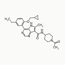 CCc1ccc(OCC2CC2)c(-c2ncnc3c(C(=O)NC4CCN(C(C)=O)CC4)c(C)[nH]c23)c1